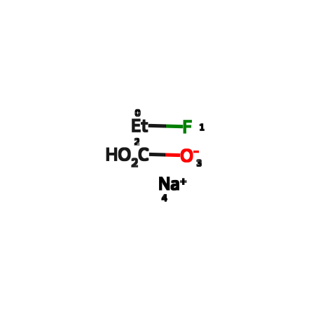 CCF.O=C([O-])O.[Na+]